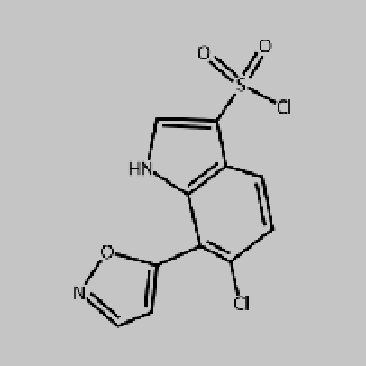 O=S(=O)(Cl)c1c[nH]c2c(-c3ccno3)c(Cl)ccc12